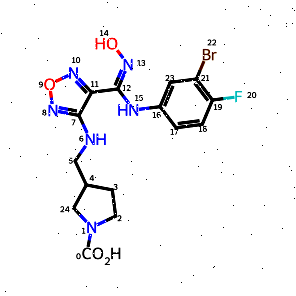 O=C(O)N1CCC(CNc2nonc2C(=NO)Nc2ccc(F)c(Br)c2)C1